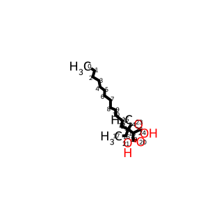 CCCCCCCCCCCCCC(CC)(CC)C(C(=O)O)C(=O)O